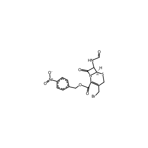 O=CNC1C(=O)N2C(C(=O)OCc3ccc([N+](=O)[O-])cc3)=C(CBr)CS[C@H]12